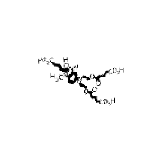 CN1c2ccc(N(CCOC(=O)CCCC(=O)O)CCOC(=O)CCCC(=O)O)cc2NC1(O)CCCC(=O)O